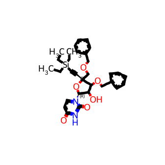 CC[Si](C#C[C@]1(COCc2ccccc2)O[C@@H](n2ccc(=O)[nH]c2=O)C(O)C1OCc1ccccc1)(CC)CC